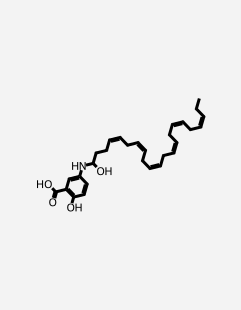 CC/C=C\C/C=C\C/C=C\C/C=C\C/C=C\C/C=C\CCC(O)Nc1ccc(O)c(C(=O)O)c1